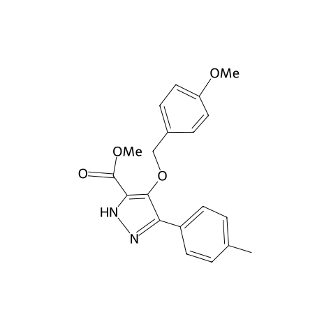 COC(=O)c1[nH]nc(-c2ccc(C)cc2)c1OCc1ccc(OC)cc1